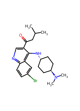 CC(C)CC(=O)c1cnc2ccc(Br)cc2c1N[C@H]1CC[C@H](N(C)C)CC1